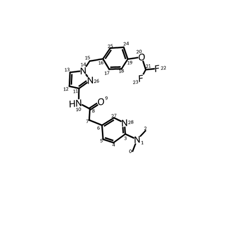 CN(C)c1ccc(CC(=O)Nc2ccn(Cc3ccc(OC(F)F)cc3)n2)cn1